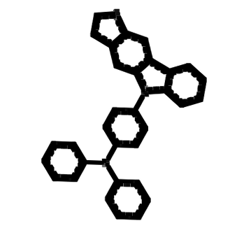 c1ccc(N(c2ccccc2)c2ccc(-n3c4ccccc4c4cc5sccc5cc43)cc2)cc1